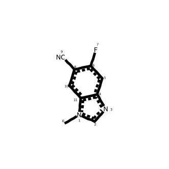 Cn1cnc2cc(F)c(C#N)cc21